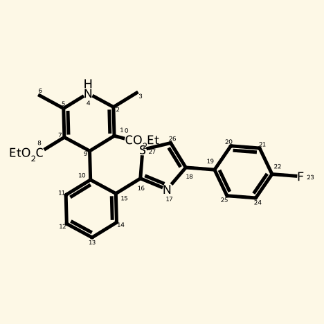 CCOC(=O)C1=C(C)NC(C)=C(C(=O)OCC)C1c1ccccc1-c1nc(-c2ccc(F)cc2)cs1